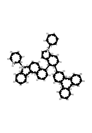 c1ccc(-n2ccc3c(-c4cccc5c4ccc4c5c5ccccc5n4-c4ccccn4)c(-c4ccc5c6ccccc6c6ccccc6c5c4)ccc32)cc1